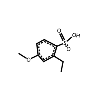 CCc1cc(OC)ccc1S(=O)(=O)O